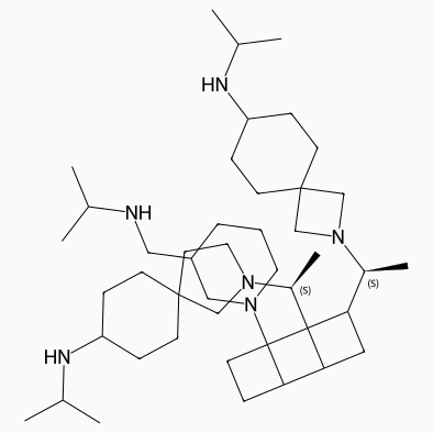 CC(C)NCC1CCCN(C23CCC2C2CC([C@H](C)N4CC5(CCC(NC(C)C)CC5)C4)C23[C@H](C)N2CCC3(CCC(NC(C)C)CC3)C2)C1